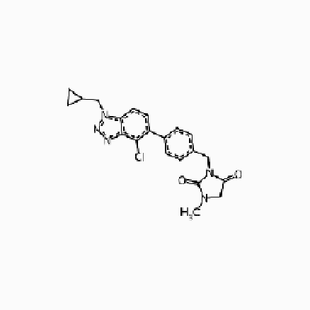 CN1CC(=O)N(Cc2ccc(-c3ccc4c(nnn4CC4CC4)c3Cl)cc2)C1=O